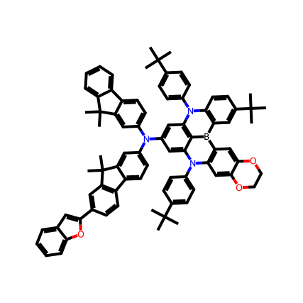 CC(C)(C)c1ccc(N2c3ccc(C(C)(C)C)cc3B3c4cc5c(cc4N(c4ccc(C(C)(C)C)cc4)c4cc(N(c6ccc7c(c6)C(C)(C)c6ccccc6-7)c6ccc7c(c6)C(C)(C)c6cc(-c8cc9ccccc9o8)ccc6-7)cc2c43)OCCO5)cc1